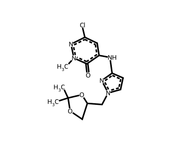 Cn1nc(Cl)cc(Nc2ccn(CC3COC(C)(C)O3)n2)c1=O